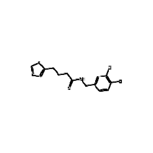 O=C(CCCc1cccs1)NCc1ccc(Cl)c(Cl)c1